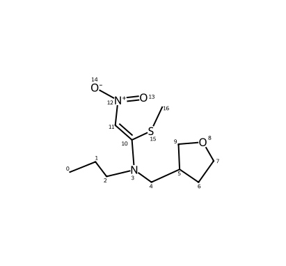 CCCN(CC1CCOC1)C(=C[N+](=O)[O-])SC